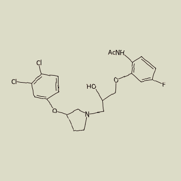 CC(=O)Nc1ccc(F)cc1OCC(O)CN1CCC(Oc2ccc(Cl)c(Cl)c2)C1